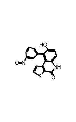 O=Nc1cccc(-c2c(O)ccc3[nH]c(=O)c4sccc4c23)c1